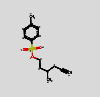 C#CCC(C)CCOS(=O)(=O)c1ccc(C)cc1